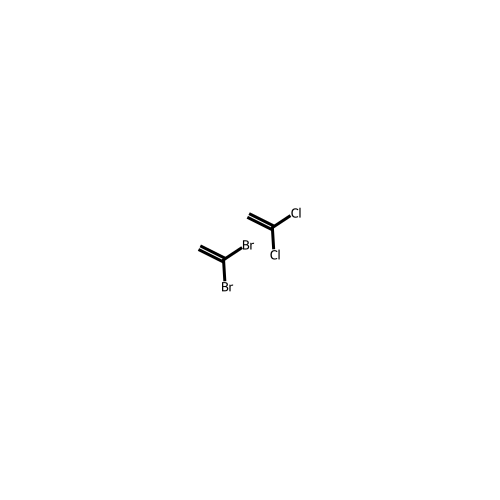 C=C(Br)Br.C=C(Cl)Cl